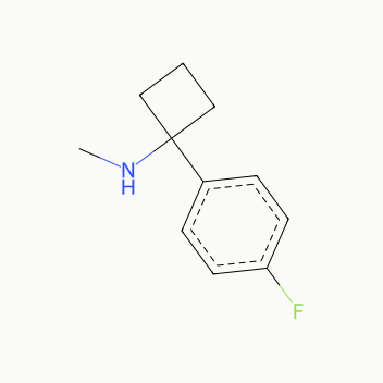 CNC1(c2ccc(F)cc2)CCC1